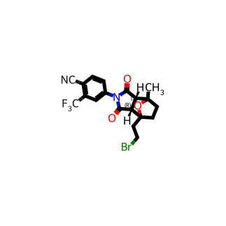 CC12CCC(CCBr)(O1)[C@@H]1C(=O)N(c3ccc(C#N)c(C(F)(F)F)c3)C(=O)[C@@H]12